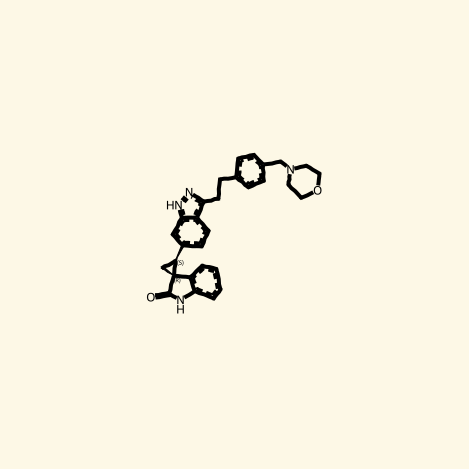 O=C1Nc2ccccc2[C@]12C[C@H]2c1ccc2c(CCc3ccc(CN4CCOCC4)cc3)n[nH]c2c1